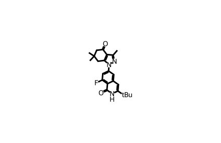 Cc1nn(-c2cc(F)c3c(=O)[nH]c(C(C)(C)C)cc3c2)c2c1C(=O)CC(C)(C)C2